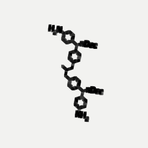 CCCCCCCCCCC(c1ccc(N)cc1)c1ccc(CC(C)Cc2ccc(C(CCCCCCCCCC)c3ccc(N)cc3)cc2)cc1